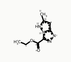 CCOC(=O)c1nnc2cc(C)[nH]n12